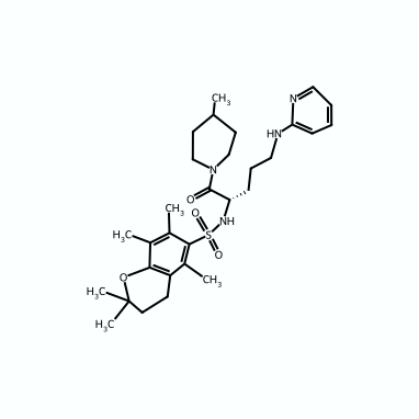 Cc1c(C)c(S(=O)(=O)N[C@@H](CCCNc2ccccn2)C(=O)N2CCC(C)CC2)c(C)c2c1OC(C)(C)CC2